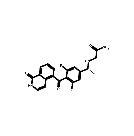 C[C@@H](NCC(N)=O)c1cc(F)c(C(=O)c2cccc3c(=O)[nH]ccc23)c(F)c1